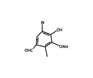 COc1c(C)c(C=O)cc(Br)c1O